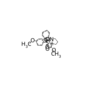 COC(=O)[C@]1(S(=O)(=O)c2ccc(OC)cc2)CCCN1c1ccccc1S